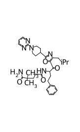 CC(C)Cc1nc(C2CCN(c3ncccn3)CC2)oc1C(=O)C(CCc1ccccc1)NC(=O)[CH]CC(C)(C)C(N)=O